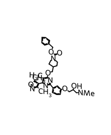 CNCC(O)COc1cccc(-c2nc(OCC3CCN(C(=O)OCc4ccccc4)CC3)c(C)c(-c3c(C)noc3C)n2)c1